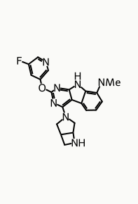 CNc1cccc2c1[nH]c1nc(Oc3cncc(F)c3)nc(N3CC4CNC4C3)c12